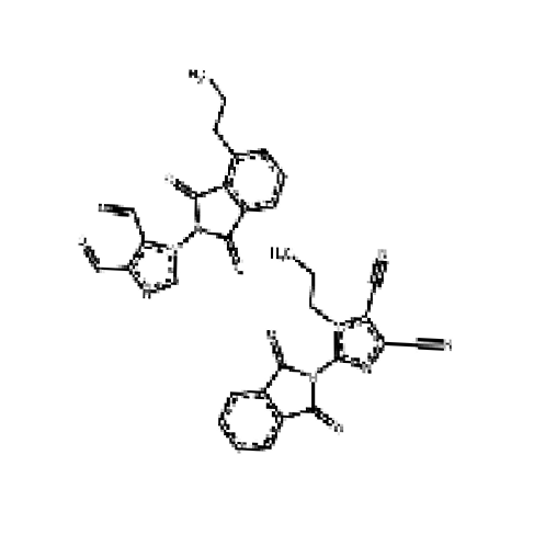 CCCc1cccc2c1C(=O)N(n1cnc(C=O)c1C=O)C2=O.CCCn1c(N2C(=O)c3ccccc3C2=O)nc(C#N)c1C#N